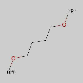 CCCOCCCCOCCC